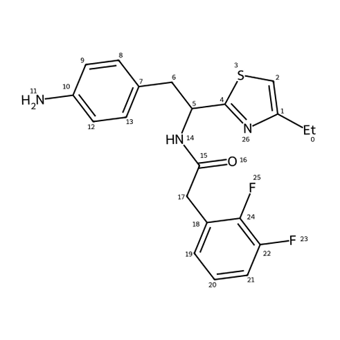 CCc1csc(C(Cc2ccc(N)cc2)NC(=O)Cc2cccc(F)c2F)n1